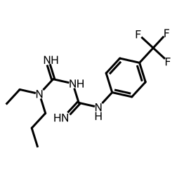 CCCN(CC)C(=N)NC(=N)Nc1ccc(C(F)(F)F)cc1